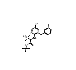 Cc1cccc(Cc2nc(Br)cnc2NC(C(=O)OC(C)(C)C)P(C)(C)=O)c1